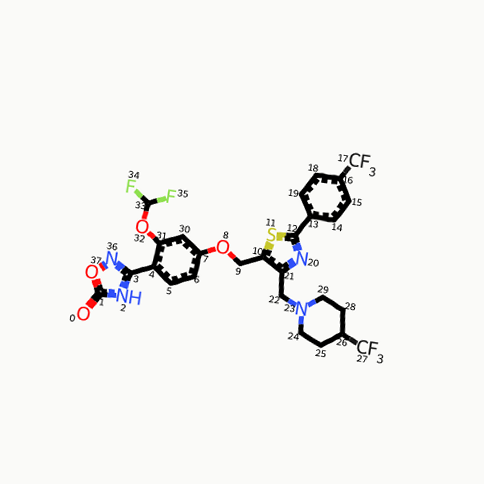 O=c1[nH]c(-c2ccc(OCc3sc(-c4ccc(C(F)(F)F)cc4)nc3CN3CCC(C(F)(F)F)CC3)cc2OC(F)F)no1